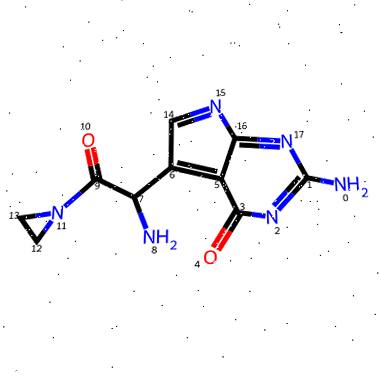 NC1=NC(=O)C2=C(C(N)C(=O)N3CC3)C=NC2=N1